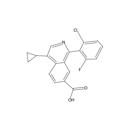 O=C(O)c1ccc2c(C3CC3)cnc(-c3c(F)cccc3Cl)c2c1